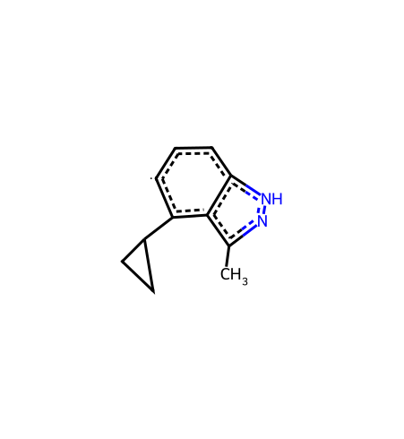 Cc1n[nH]c2cc[c]c(C3CC3)c12